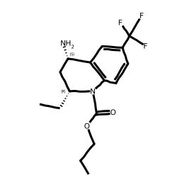 CCCOC(=O)N1c2ccc(C(F)(F)F)cc2[C@@H](N)C[C@H]1CC